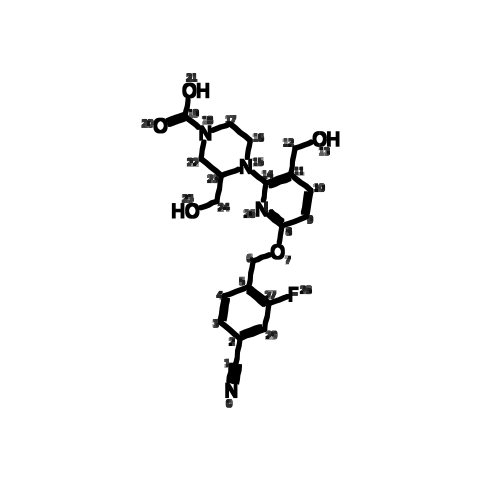 N#Cc1ccc(COc2ccc(CO)c(N3CCN(C(=O)O)CC3CO)n2)c(F)c1